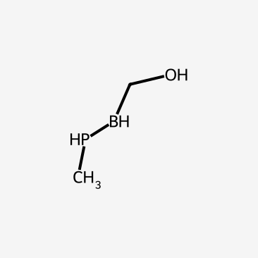 CPBCO